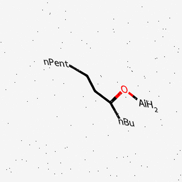 CCCCCCCC(CCCC)[O][AlH2]